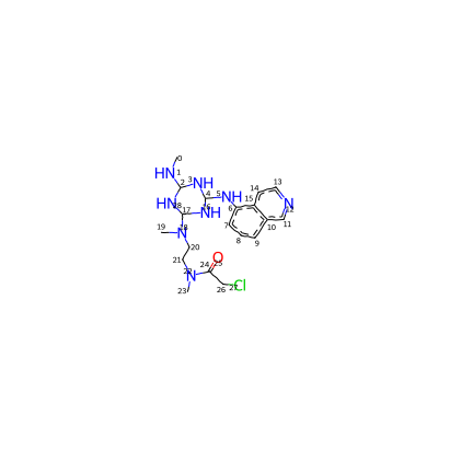 CNC1NC(Nc2cccc3cnccc23)NC(N(C)CCN(C)C(=O)CCl)N1